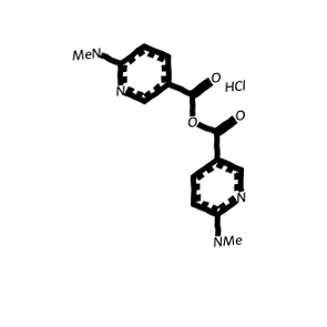 CNc1ccc(C(=O)OC(=O)c2ccc(NC)nc2)cn1.Cl